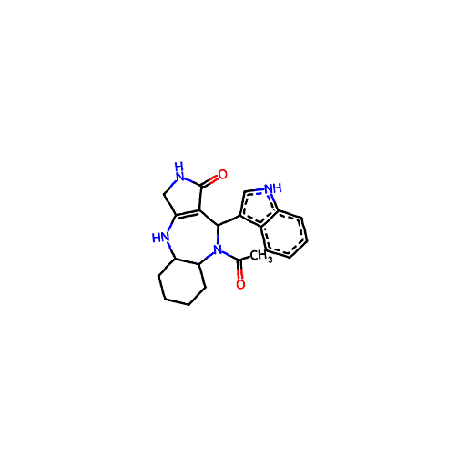 CC(=O)N1C(c2c[nH]c3ccccc23)C2=C(CNC2=O)NC2CCCCC21